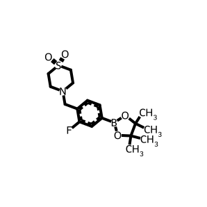 CC1(C)OB(c2ccc(CN3CCS(=O)(=O)CC3)c(F)c2)OC1(C)C